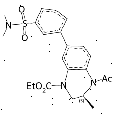 CCOC(=O)N1C[C@H](C)N(C(C)=O)c2ccc(-c3cccc(S(=O)(=O)N(C)C)c3)cc21